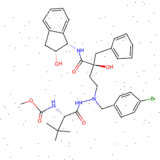 COC(=O)N[C@H](C(=O)NN(CC[C@@](O)(Cc1ccccc1)C(=O)N[C@H]1c2ccccc2C[C@H]1O)Cc1ccc(Br)cc1)C(C)(C)C